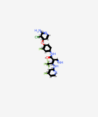 N=C/C(C(=O)Nc1ccc(Oc2ccnc(N)c2Cl)c(F)c1)=C(\Nc1cc(F)ccn1)C(F)(F)F